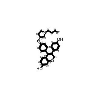 Oc1ccc(C2=C(c3ccc(O[C@H]4CCN(CCCF)C4)cc3)c3ccc(O)cc3OC2)cc1